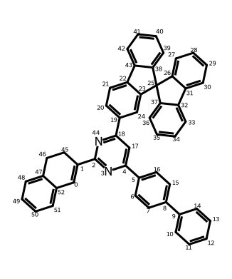 C1=C(c2nc(-c3ccc(-c4ccccc4)cc3)cc(-c3ccc4c(c3)C3(c5ccccc5-c5ccccc53)c3ccccc3-4)n2)CCc2ccccc21